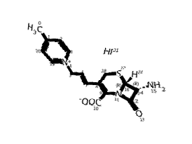 Cc1cc[n+](CC=CC2=C(C(=O)[O-])N3C(=O)[C@@H](N)[C@H]3SC2)cc1.I